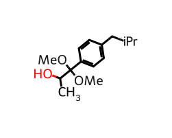 COC(OC)(c1ccc(CC(C)C)cc1)C(C)O